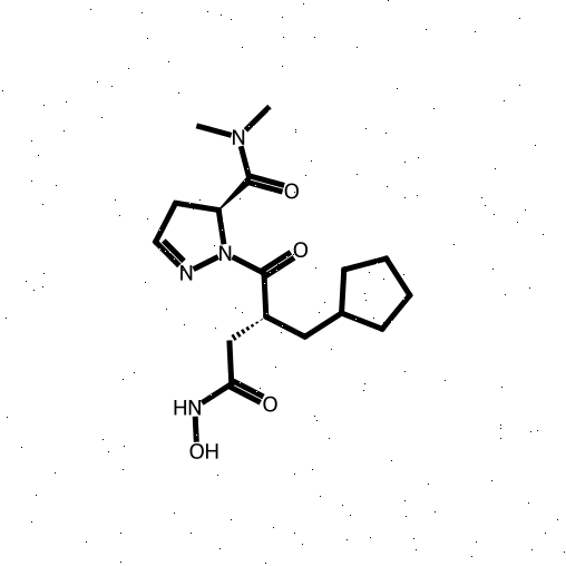 CN(C)C(=O)[C@@H]1CC=NN1C(=O)[C@@H](CC(=O)NO)CC1CCCC1